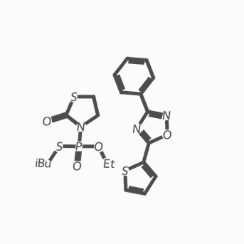 CCOP(=O)(SC(C)CC)N1CCSC1=O.c1ccc(-c2noc(-c3cccs3)n2)cc1